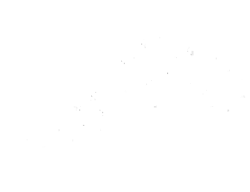 CCn1cc(Cn2cc(COCCO)nn2)c(=O)c2cc(NC3Cc4ccccc4C3)cnc21